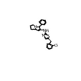 Clc1ccccc1Cc1cnc(NC2=CC3CCCN3C2c2ccccc2)s1